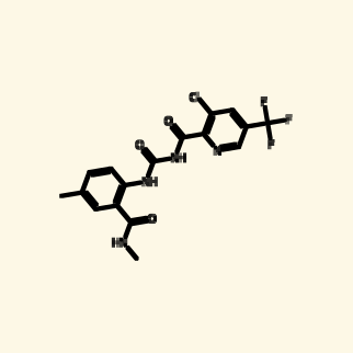 CNC(=O)c1cc(C)ccc1NC(=O)NC(=O)c1ncc(C(F)(F)F)cc1Cl